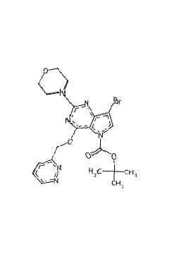 CC(C)(C)OC(=O)n1cc(Br)c2nc(N3CCOCC3)nc(OCc3cccnn3)c21